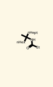 CCCCCCCC(C)(CCCCCC)NC(=O)CC